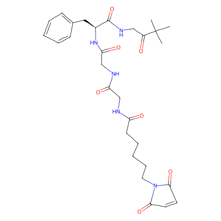 CC(C)(C)C(=O)CNC(=O)[C@H](Cc1ccccc1)NC(=O)CNC(=O)CNC(=O)CCCCCN1C(=O)C=CC1=O